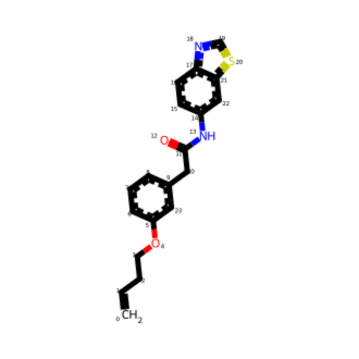 C=CCCOc1cccc(CC(=O)Nc2ccc3ncsc3c2)c1